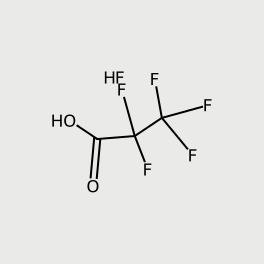 F.O=C(O)C(F)(F)C(F)(F)F